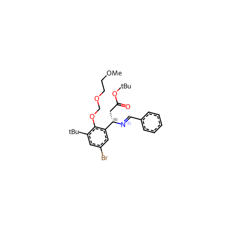 COCCOCOc1c([C@H](CC(=O)OC(C)(C)C)/N=C/c2ccccc2)cc(Br)cc1C(C)(C)C